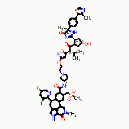 Cc1ncsc1-c1ccc([C@]2(C)NC([C@@H]3C[C@@H](O)CC3C(=O)[C@@H](c3cc(OCCN4CC[C@H](NC(=O)c5cc6c(cc5CS(C)(=O)=O)-c5cn(C)c(=O)c7[nH]cc(c57)CC6c5ncc(F)cc5F)C4)no3)C(C)C)=NC2=O)cc1